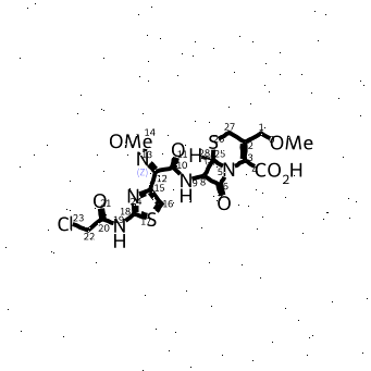 COCC1=C(C(=O)O)N2C(=O)C(NC(=O)/C(=N\OC)c3csc(NC(=O)CCl)n3)[C@@H]2SC1